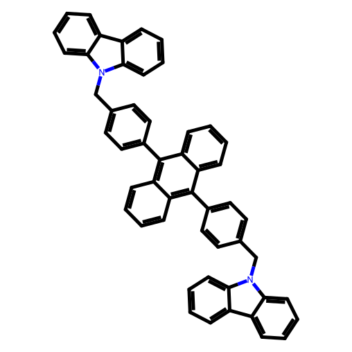 c1ccc2c(-c3ccc(Cn4c5ccccc5c5ccccc54)cc3)c3ccccc3c(-c3ccc(Cn4c5ccccc5c5ccccc54)cc3)c2c1